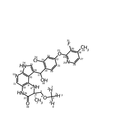 [2H]C([2H])([2H])OC[C@]1(C)Nc2c(cnc3[nH]cc(C(O)c4ccc(Oc5nccc(C)c5F)cc4Cl)c23)NC1=O